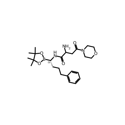 CC1(C)OB([C@@H](CCCc2ccccc2)NC(=O)C(N)CC(=O)N2CCOCC2)OC1(C)C